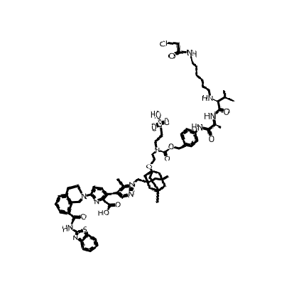 Cc1c(-c2ccc(N3CCc4cccc(C(=O)Nc5nc6ccccc6s5)c4C3)nc2C(=O)O)cnn1CC12CC3(C)CC(C)(C1)CC(OCCN(CCS(=O)(=O)O)C(=O)OCc1ccc(NC(=O)[C@H](C)NC(=O)[C@@H](NCCCCCCNC(=O)CCl)C(C)C)cc1)(C3)C2